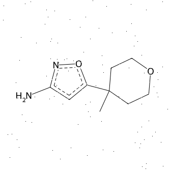 CC1(c2cc(N)no2)CCOCC1